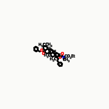 CCOC(=O)N(C)C(=O)O[C@H]1CC[C@@]2(C)C(CC[C@]3(C)[C@@H]2CC=C2[C@H]4CC(C)(C)CC[C@]4(C(=O)OCc4ccccc4)CC[C@]23C)[C@@]1(C)CCc1ccccc1